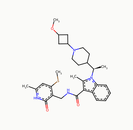 COC1CC(N2CCC([C@@H](C)n3c(C)c(C(=O)NCc4c(SC)cc(C)[nH]c4=O)c4ccccc43)CC2)C1